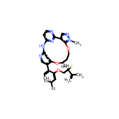 C=C(C)C(F)(CCC)COC(=C/C(CC)CC)/C(=C\C)c1cnc2cc1O[C@@H](C)CCOc1c(cnn1C)-c1nccc(n1)N2